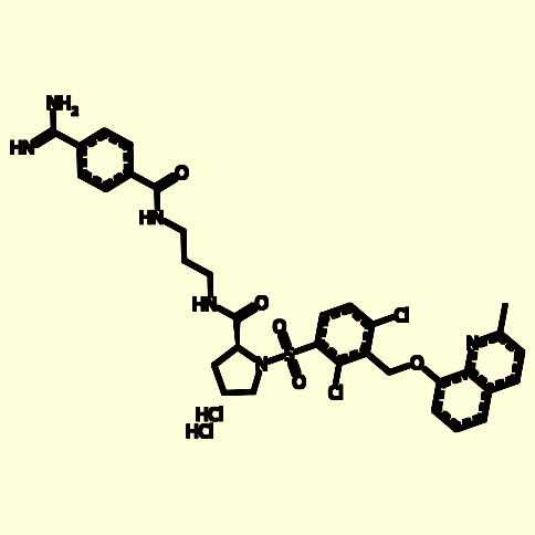 Cc1ccc2cccc(OCc3c(Cl)ccc(S(=O)(=O)N4CCC[C@H]4C(=O)NCCCNC(=O)c4ccc(C(=N)N)cc4)c3Cl)c2n1.Cl.Cl